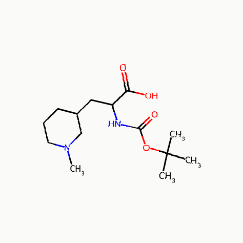 CN1CCCC(CC(NC(=O)OC(C)(C)C)C(=O)O)C1